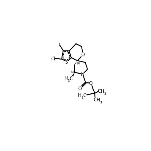 C[C@H]1C[C@@]2(CCN1C(=O)OC(C)(C)C)OCCc1c2sc(Cl)c1I